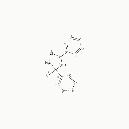 NC(Cl)(NC(Cl)c1ccccc1)c1ccccc1